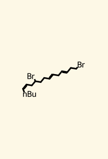 CCCC/C=C\CC(Br)CCC=CCC=CCCBr